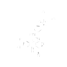 COCCN(CCOC)S(=O)(=O)c1ccc(Nc2nc3ncc(C#N)c(Nc4ccc(F)c(Cl)c4)c3s2)cc1